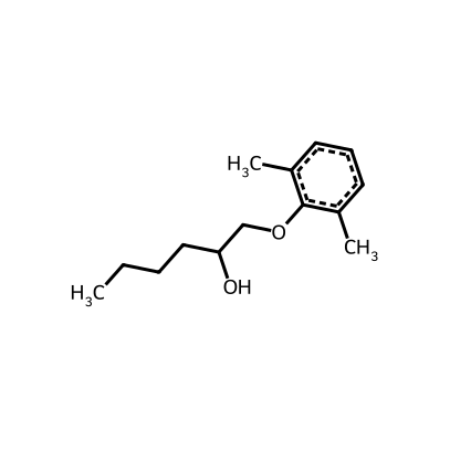 CCCCC(O)COc1c(C)cccc1C